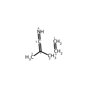 C=C.CC(C)=C=N